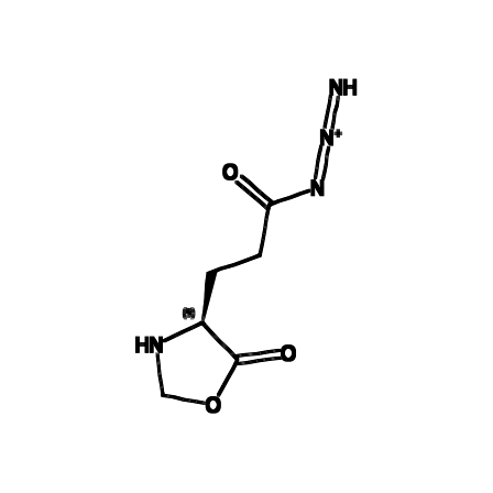 N=[N+]=NC(=O)CC[C@@H]1NCOC1=O